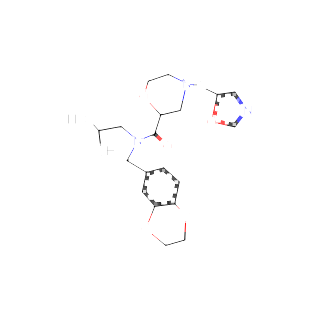 CC(C)CN(Cc1ccc2c(c1)OCCO2)C(=O)C1CN(Cc2cnco2)CCO1